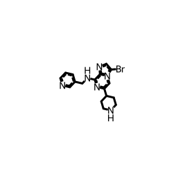 Brc1cnc2c(NCc3cccnc3)nc(C3CCNCC3)cn12